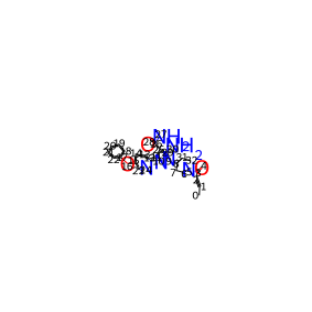 CC#CC(=O)N1CCC(n2nc(-c3ccc(Oc4ccccc4)cn3)c(C(N)=O)c2N)CC1